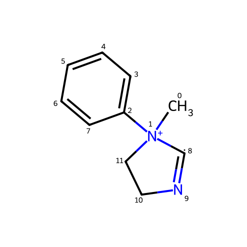 C[N+]1(c2ccccc2)[C]=NCC1